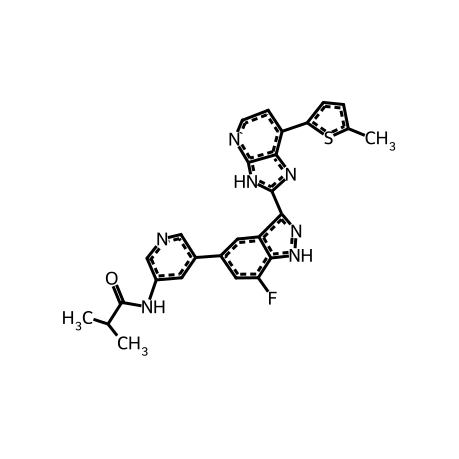 Cc1ccc(-c2ccnc3[nH]c(-c4n[nH]c5c(F)cc(-c6cncc(NC(=O)C(C)C)c6)cc45)nc23)s1